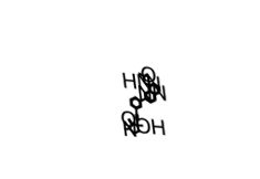 CC(=O)Nc1ncnc2ccc(-c3cccc(C#CC4(O)CCN(C)C4=O)c3)nc12